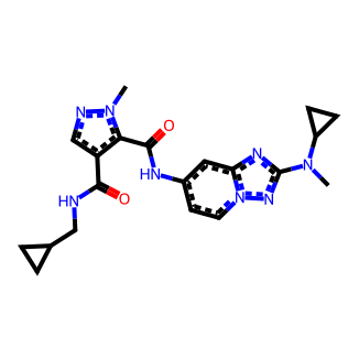 CN(c1nc2cc(NC(=O)c3c(C(=O)NCC4CC4)cnn3C)ccn2n1)C1CC1